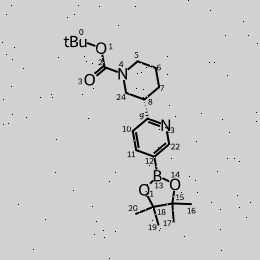 CC(C)(C)OC(=O)N1CCC[C@H](c2ccc(B3OC(C)(C)C(C)(C)O3)cn2)C1